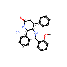 COc1ccccc1CNC1C(c2ccccc2)CC(=O)NC1c1ccccc1.N